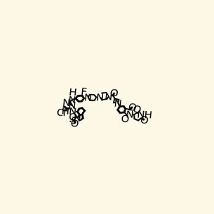 CS(=O)(=O)n1ccc2cccc(Nc3nc(Nc4ccc(N5CCC(N6CCN(C(=O)C7CN(c8ccc9c(c8)C(=O)N(C8CCC(=O)NC8=O)C9=O)C7)CC6)CC5)c(F)c4)ncc3Cl)c21